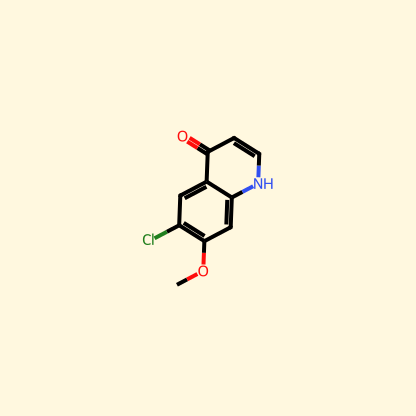 COc1cc2[nH]ccc(=O)c2cc1Cl